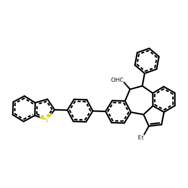 CCC1=Cc2cccc3c2C1c1ccc(-c2ccc(-c4cc5ccccc5s4)cc2)cc1C(C=O)C3c1ccccc1